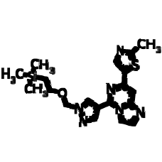 Cc1ncc(-c2cc3nccn3c(-c3cnn(COCC[Si](C)(C)C)c3)n2)s1